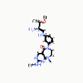 CCNc1ncc2c(n1)N(C)CCN(c1cccc(N/C=C(\N)C(N=O)OCC)c1)C2=O